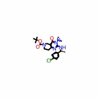 C[C@H](Nc1nc2c(c(=O)n1N(C)C)CN(C(=O)OC(C)(C)C)CC2)c1ccc(Cl)cc1